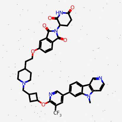 Cn1c2ccncc2c2ccc(-c3cnc(OC4CC(CN5CCC(CCOc6ccc7c(c6)C(=O)N(C6CCC(=O)NC6=O)C7=O)CC5)C4)c(C(F)(F)F)c3)cc21